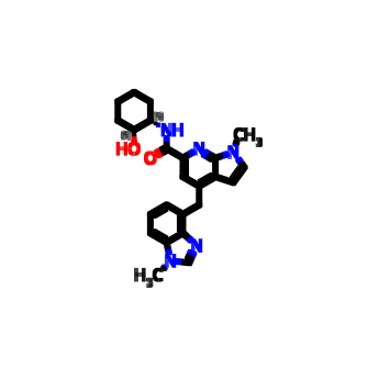 Cn1cnc2c(Cc3cc(C(=O)N[C@H]4CCCC[C@@H]4O)nc4c3ccn4C)cccc21